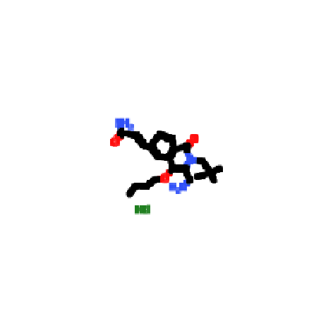 CCCCOc1c(CN)n(CC(C)(C)C)c(=O)c2ccc(/C=C/C(N)=O)cc12.Cl